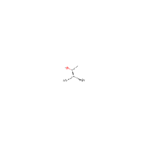 CCCC(CCC)C(C)[O]